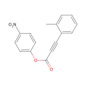 Cc1ccccc1C#CC(=O)Oc1ccc([N+](=O)[O-])cc1